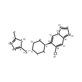 Cc1nnc(S[C@H]2CC[C@H](c3cn4ncnc4cc3Cl)CC2)s1